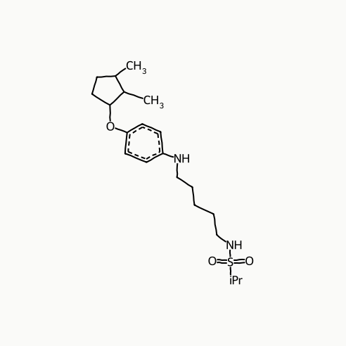 CC1CCC(Oc2ccc(NCCCCCNS(=O)(=O)C(C)C)cc2)C1C